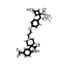 C[C@H](c1ccc(OCCN2CCC3(CC2)C(=O)Nc2ccc(C(F)F)cc23)cc1)C1([S+](C)[O-])CC(O)C1